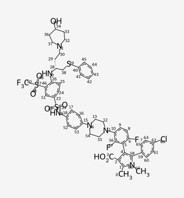 Cc1c(C(=O)O)c(-c2c(F)ccc(N3CCN(c4ccc(NS(=O)(=O)c5ccc(N[C@H](CCN6CCC(O)CC6)CSc6ccccc6)c(S(=O)(=O)C(F)(F)F)c5)cc4)CC3)c2F)c(-c2ccc(Cl)cc2)n1C